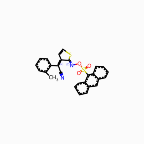 Cc1ccccc1/C(C#N)=C1\C=CS\C1=N/OS(=O)(=O)c1c2ccccc2cc2ccccc12